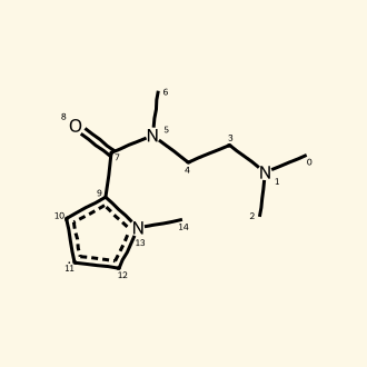 CN(C)CCN(C)C(=O)c1c[c]cn1C